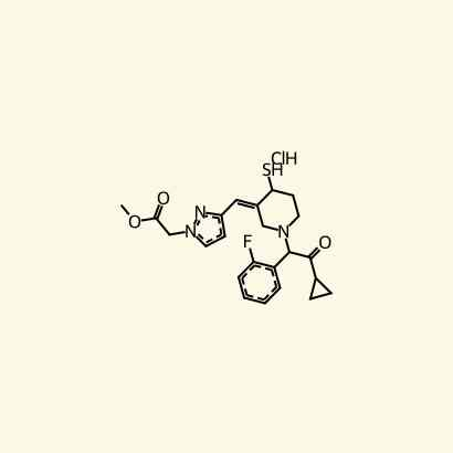 COC(=O)Cn1ccc(/C=C2\CN(C(C(=O)C3CC3)c3ccccc3F)CCC2S)n1.Cl